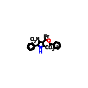 CC(C)C(OCc1ccccc1)C1C(C(=O)O)NC(c2ccccc2)C1[N+](=O)[O-]